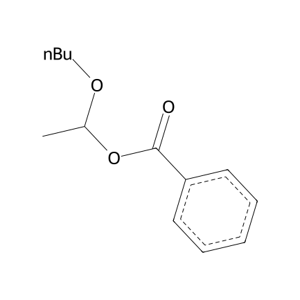 CCCCOC(C)OC(=O)c1ccccc1